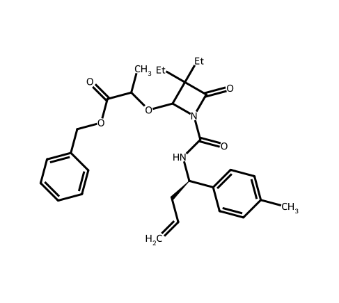 C=CC[C@@H](NC(=O)N1C(=O)C(CC)(CC)C1OC(C)C(=O)OCc1ccccc1)c1ccc(C)cc1